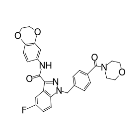 O=C(Nc1ccc2c(c1)OCCO2)c1nn(Cc2ccc(C(=O)N3CCOCC3)cc2)c2ccc(F)cc12